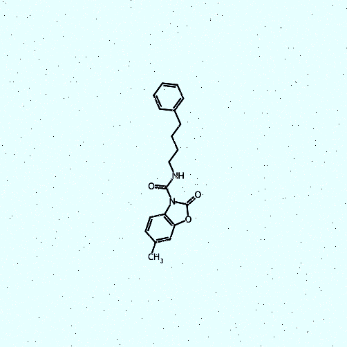 Cc1ccc2c(c1)oc(=O)n2C(=O)NCCCCc1ccccc1